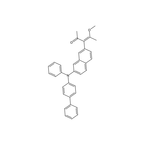 CO/C(C)=C(\C(C)=O)c1ccc2ccc(N(c3ccccc3)c3ccc(-c4ccccc4)cc3)cc2c1